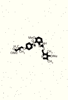 COC(=O)C(C)(C)COc1ccc(S(=O)(=O)c2c(OC)ccc3[nH]c(SCc4ncc(C)c(OC)c4C)nc23)cc1